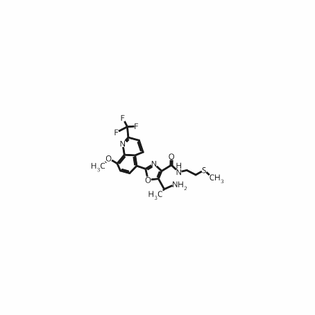 COc1ccc(-c2nc(C(=O)NCCSC)c([C@H](C)N)o2)c2ccc(C(F)(F)F)nc12